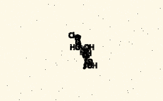 CCCC(CC[C@H]1CC[C@@H]2[C@@H](C=C[C@@H](O)COc3cccc(Cl)c3)[C@H](O)C[C@@H]2S1)C(=O)O